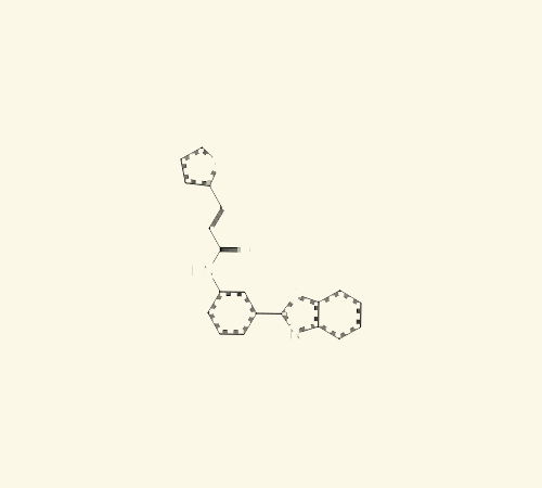 O=C(/C=C/c1ccco1)Nc1cccc(-c2nc3ccccc3s2)c1